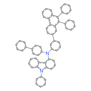 c1ccc(-c2ccc(N(c3cccc(-c4ccc5c(c4)c(-c4ccccc4)c(-c4ccccc4)c4ccccc45)c3)c3cccc4c3c3ccccc3n4-c3ccccc3)cc2)cc1